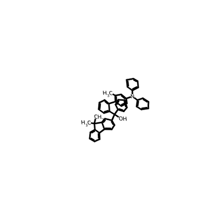 Cc1cc(N(c2ccccc2)c2ccccc2)ccc1-c1ccccc1C(O)(c1ccccc1)c1ccc2c(c1)C(C)(C)c1ccccc1-2